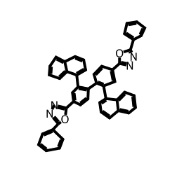 c1ccc(-c2nnc(-c3ccc(-c4ccc(-c5nnc(-c6ccccc6)o5)cc4-c4cccc5ccccc45)c(-c4cccc5ccccc45)c3)o2)cc1